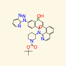 CC(C)(C)OC(=O)N1CCC[C@@H](N(C(=O)c2ccc(-n3nnc4cccnc43)cc2F)c2nccc3cccc(/C=C/CO)c23)C1